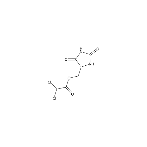 O=C1NC(=O)C(COC(=O)C(Cl)Cl)N1